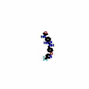 FC(F)(F)c1ccc(Oc2ccc(CNc3nc4ccc(NC5COC5)cc4[nH]3)cc2)nc1